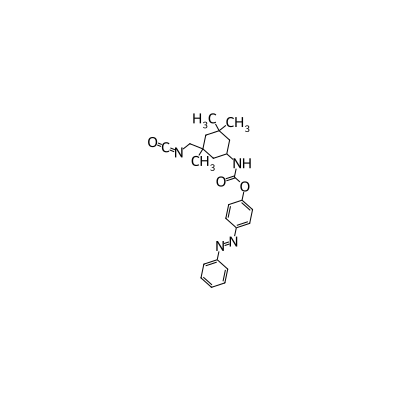 CC1(C)CC(NC(=O)Oc2ccc(N=Nc3ccccc3)cc2)CC(C)(CN=C=O)C1